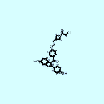 O=C(c1ccc(OCCC2CN(C(=O)CCl)C2)cc1)c1c(-c2ccc(O)cc2)sc2cc(O)ccc12